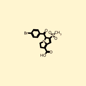 CS(=O)(=O)C1=CC2=C(C(=O)O)CCN2C1C(=O)c1ccc(Br)cc1